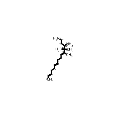 C/C=C/CC/C=C/CC/C=C(\C)C(C)(C)C(N)CCN